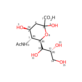 CC(=O)N[C@@H]1[C@@H](O)CC(O)(C(=O)O)O[C@H]1C(O)[C@H](O)CO